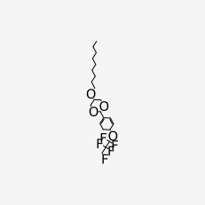 CCCCCCCCCOC1COC(C2=CCC(OC(F)(F)C(F)(F)CF)C=C2)OC1